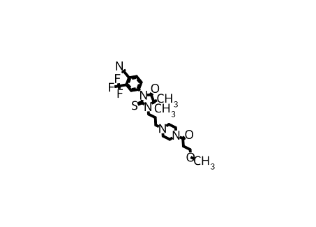 COCCC(=O)N1CCN(CCCN2C(=S)N(c3ccc(C#N)c(C(F)(F)F)c3)C(=O)C2(C)C)CC1